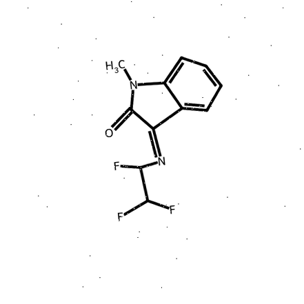 CN1C(=O)C(=NC(F)C(F)F)c2ccccc21